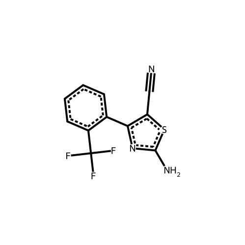 N#Cc1sc(N)nc1-c1ccccc1C(F)(F)F